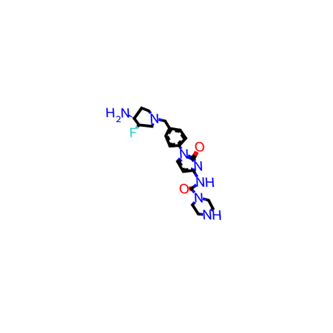 N[C@@H]1CCN(Cc2ccc(-n3ccc(NC(=O)N4CCNCC4)nc3=O)cc2)CC1F